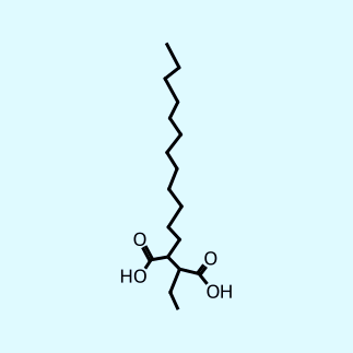 CCCCCCCCCCCCC(C(=O)O)C(CC)C(=O)O